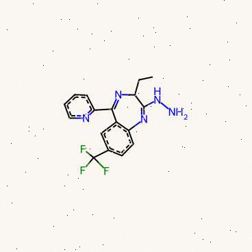 CCC1N=C(c2ccccn2)c2cc(C(F)(F)F)ccc2N=C1NN